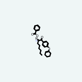 CCCCCC/C(=N/OC(=O)c1ccccc1)C(=O)c1ccc(SC2=CCCCC2)cc1